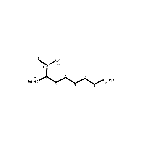 CCCCCCCCCCCCC(OC)[S+](C)[O-]